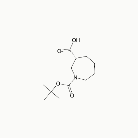 CC(C)(C)OC(=O)N1CCCC[C@@H](C(=O)O)C1